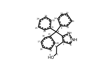 OCCc1c[nH]nc1C(c1ccccc1)(c1ccccc1)c1ccccc1